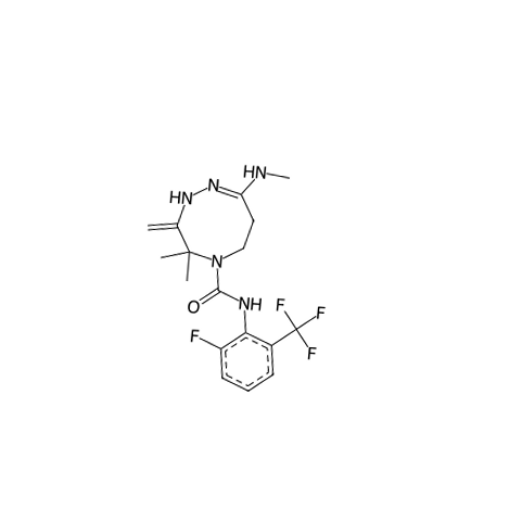 C=C1N/N=C(/NC)CCN(C(=O)Nc2c(F)cccc2C(F)(F)F)C1(C)C